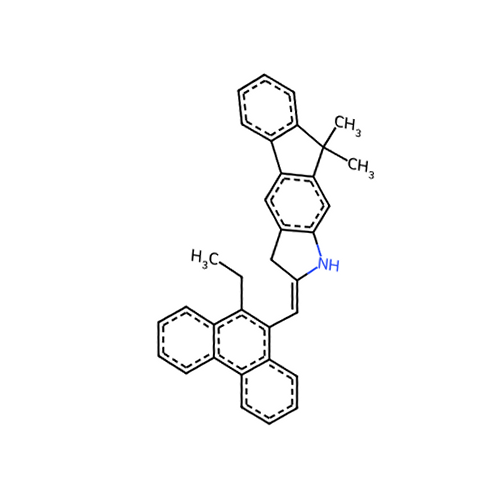 CCc1c(/C=C2\Cc3cc4c(cc3N2)C(C)(C)c2ccccc2-4)c2ccccc2c2ccccc12